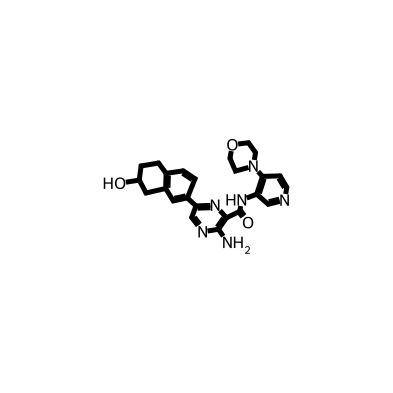 Nc1ncc(-c2ccc3c(c2)CC(O)CC3)nc1C(=O)Nc1cnccc1N1CCOCC1